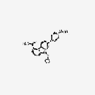 COc1ccc(-c2c[c]c3c4c(C(N)=O)cccc4n(CC4CCC4)c3c2)cc1